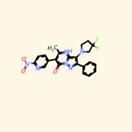 Cc1[nH]c2c(N3CCC(F)(F)C3)c(-c3ccccc3)nn2c(=O)c1-c1ccc([N+](=O)[O-])nc1